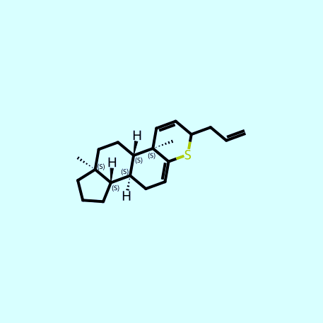 C=CCC1C=C[C@@]2(C)C(=CC[C@H]3[C@@H]4CCC[C@@]4(C)CC[C@@H]32)S1